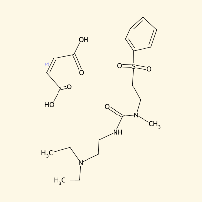 CCN(CC)CCNC(=O)N(C)CCS(=O)(=O)c1ccccc1.O=C(O)/C=C\C(=O)O